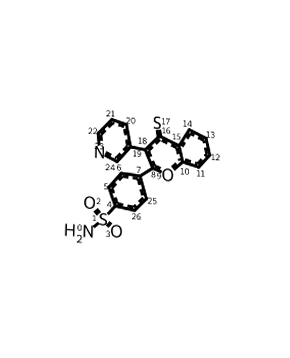 NS(=O)(=O)c1ccc(-c2oc3ccccc3c(=S)c2-c2cccnc2)cc1